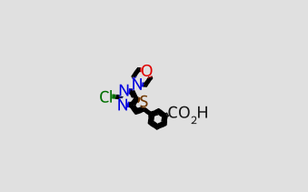 O=C(O)c1cccc(-c2cc3nc(Cl)nc(N4CCOCC4)c3s2)c1